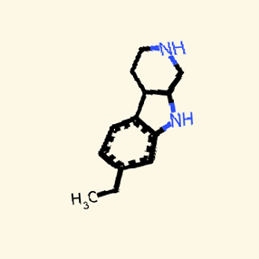 CCc1ccc2c(c1)NC1CNCCC21